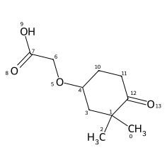 CC1(C)CC(OCC(=O)O)CCC1=O